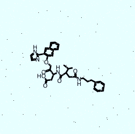 CC(C)C(CC(=O)NCCCc1ccccc1)C(=O)NC(CC(=O)O)C(=O)COc1cc2ccccc2cc1-c1ncc[nH]1